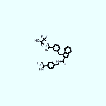 N=C(N)c1ccc(CNC(=O)c2cc3ccccc3n2Cc2cccc(C(=N)N)c2)cc1.O=C(O)C(F)(F)F